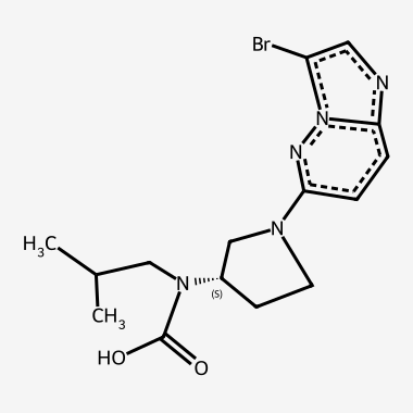 CC(C)CN(C(=O)O)[C@H]1CCN(c2ccc3ncc(Br)n3n2)C1